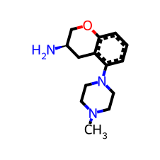 CN1CCN(c2cccc3c2C[C@@H](N)CO3)CC1